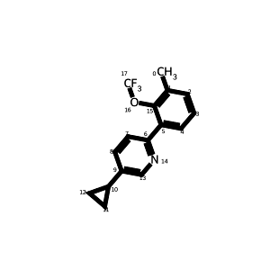 Cc1cccc(-c2[c]cc(C3CC3)cn2)c1OC(F)(F)F